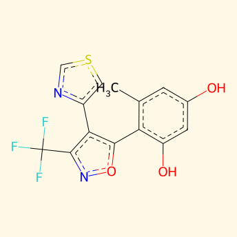 Cc1cc(O)cc(O)c1-c1onc(C(F)(F)F)c1-c1cscn1